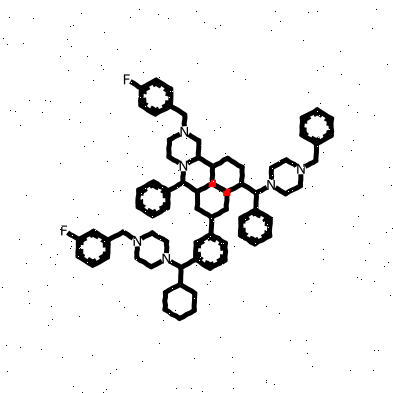 Fc1ccc(CN2CCN(C(c3ccccc3)C3CCCC(c4cccc(C(C5CCCCC5)N5CCN(Cc6cccc(F)c6)CC5)c4)C3)C(C3CCC(C(c4ccccc4)N4CCN(Cc5ccccc5)CC4)CC3)C2)cc1